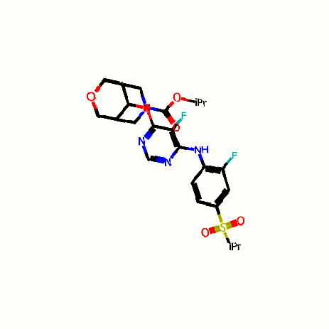 CC(C)OC(=O)N1CC2COCC(C1)C2Oc1ncnc(Nc2ccc(S(=O)(=O)C(C)C)cc2F)c1F